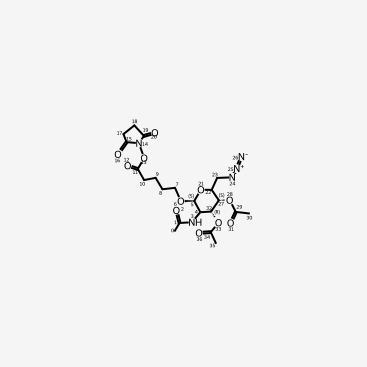 CC(=O)NC1[C@@H](OCCCCC(=O)ON2C(=O)CCC2=O)OC(CN=[N+]=[N-])[C@H](OC(C)=O)[C@@H]1OC(C)=O